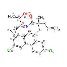 C=CCC1(C)C[C@H](c2cccc(Cl)c2)[C@@H](c2ccc(Cl)cc2)N([C@@H](C2CC2)[C@@H](C)O)C1=O